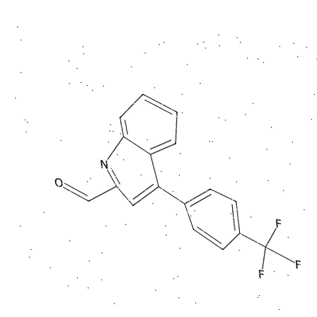 O=Cc1cc(-c2ccc(C(F)(F)F)cc2)c2ccccc2n1